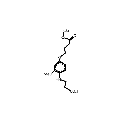 COc1cc(OCCCC(=O)OC(C)(C)C)ccc1NCCC(=O)O